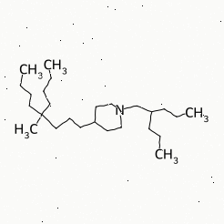 CCCCC(C)(CCCC)CCCC1CCN(CC(CCC)CCC)CC1